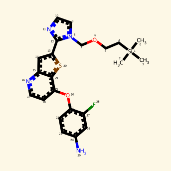 C[Si](C)(C)CCOCn1ccnc1-c1cc2nccc(Oc3ccc(N)cc3F)c2s1